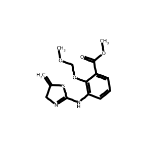 C=C1CN=C(Nc2cccc(C(=O)OC)c2OCOC)S1